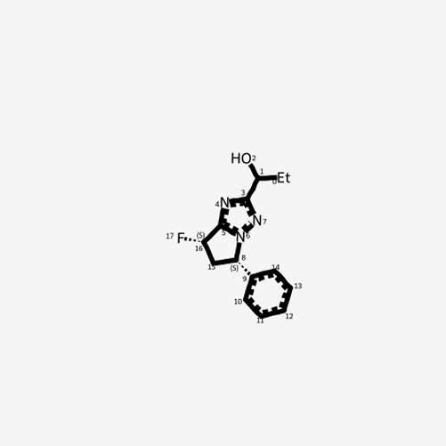 CCC(O)c1nc2n(n1)[C@H](c1ccccc1)C[C@@H]2F